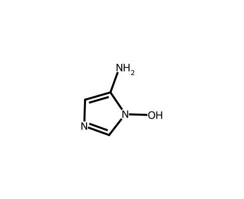 Nc1cncn1O